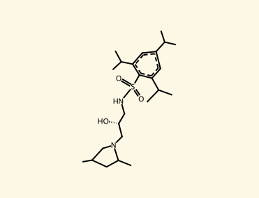 CC1CC(C)N(C[C@H](O)CNS(=O)(=O)c2c(C(C)C)cc(C(C)C)cc2C(C)C)C1